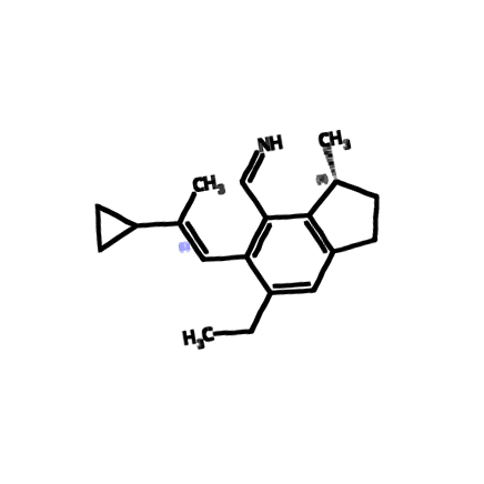 CCc1cc2c(c(C=N)c1/C=C(\C)C1CC1)[C@H](C)CC2